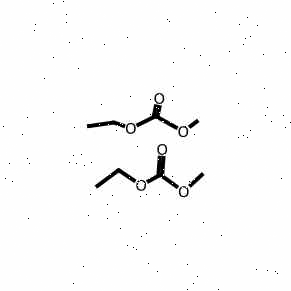 CCOC(=O)OC.CCOC(=O)OC